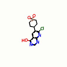 O=S1(=O)CCC(c2cc3c(O)ncnc3nc2Cl)CC1